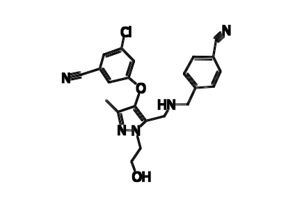 Cc1nn(CCO)c(CNCc2ccc(C#N)cc2)c1Oc1cc(Cl)cc(C#N)c1